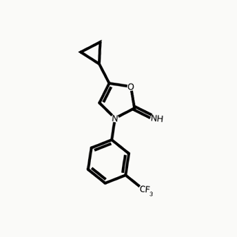 N=c1oc(C2CC2)cn1-c1cccc(C(F)(F)F)c1